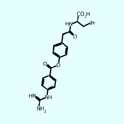 CC(C)C[C@@H](NC(=O)Cc1ccc(OC(=O)c2ccc(NC(=N)N)cc2)cc1)C(=O)O